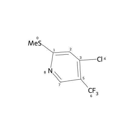 CSc1cc(Cl)c(C(F)(F)F)cn1